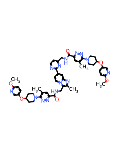 COc1ccc(OC2CCN(c3nnc(C(=O)NCc4ccnc(-c5ccn6c(CNC(=O)c7cc(C)c(N8CCC(Oc9ccc(OC)nc9)CC8)nn7)c(C)nc6c5)n4)cc3C)CC2)cn1